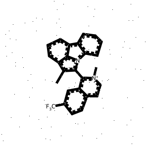 Cc1c(-c2c3cc(C(F)(F)F)ccc3cc[n+]2C)n2c3ccccc3c3cccc1c32